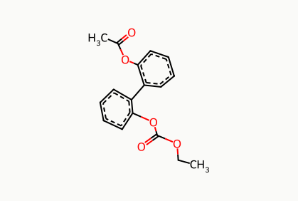 CCOC(=O)Oc1ccccc1-c1ccccc1OC(C)=O